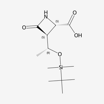 C[C@@H](O[Si](C)(C)C(C)(C)C)[C@H]1C(=O)N[C@@H]1C(=O)O